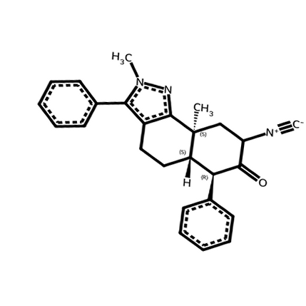 [C-]#[N+]C1C[C@]2(C)c3nn(C)c(-c4ccccc4)c3CC[C@H]2[C@H](c2ccccc2)C1=O